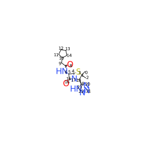 CC1(C)SC2C(NC(=O)CC3CCCC3)C(=O)N2C1c1nnn[nH]1